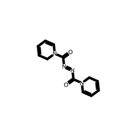 O=C(N=NC(=O)N1C=CC=CC1)N1C=CC=CC1